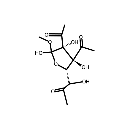 COC1(O)O[C@@H](C(O)C(C)=O)[C@@](O)(C(C)=O)[C@]1(O)C(C)=O